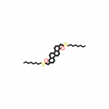 CCCCCCCCSc1cc2ccc3c4ccc5c(ccc6cc(SCCCCCCCC)oc65)c4ccc3c2o1